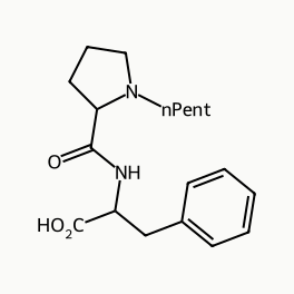 CCCCCN1CCCC1C(=O)NC(Cc1ccccc1)C(=O)O